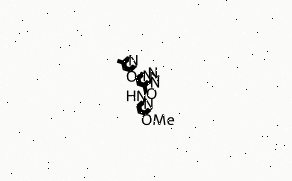 COc1ccc(NC(=O)c2cc(Oc3cncc(C)c3)cn3ncnc23)nc1